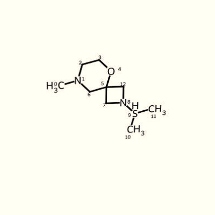 CN1CCOC2(C1)CN([SH](C)C)C2